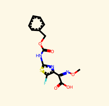 CON=C(C(=O)O)c1nc(NC(=O)OCc2ccccc2)sc1F